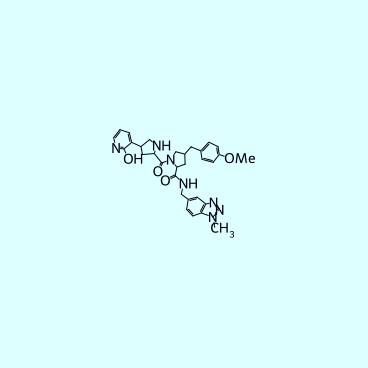 COc1ccc(CC2CC(C(=O)NCc3ccc4c(c3)nnn4C)N(C(=O)C3CC(c4cccnc4O)CN3)C2)cc1